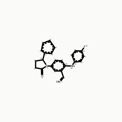 N=Cc1cc(N2C(=O)CCC2c2ccccc2)ccc1Nc1ccc(F)cc1